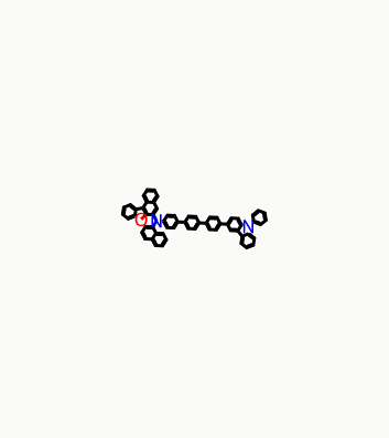 c1ccc(-n2c3ccccc3c3cc(-c4ccc(-c5ccc(-c6ccc(N(c7cccc8ccccc78)c7cc8ccccc8c8c7oc7ccccc78)cc6)cc5)cc4)ccc32)cc1